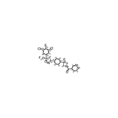 O=C(c1ccnnc1)N1CC(F)(c2ccc(C3=NOC(c4cc(Cl)c(F)c(Cl)c4)(C(F)(F)F)C3)cc2)C1